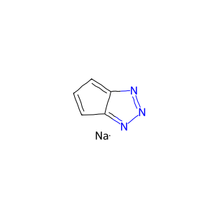 C1=CC2=NN=NC2=C1.[Na]